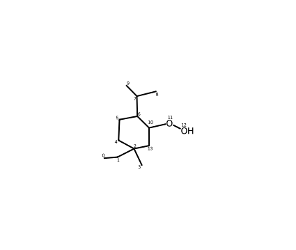 CCC1(C)CCC(C(C)C)C(OO)C1